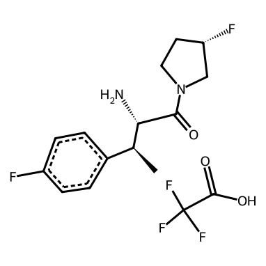 C[C@@H](c1ccc(F)cc1)[C@H](N)C(=O)N1CC[C@H](F)C1.O=C(O)C(F)(F)F